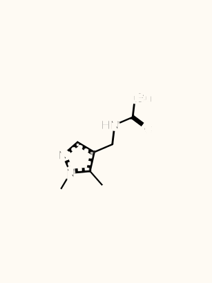 Cc1c(CNC(=O)C(C)(C)C)cnn1C